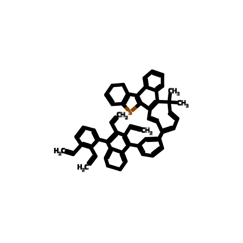 C=Cc1cccc(-c2c(C=C)c(C=C)c(-c3cccc(C4=C/C=C/C(C)(C)c5c(c6sc7c(c6c6ccccc56)CCC=C7)\C=C\4)c3)c3c2=CCCC=3)c1C=C